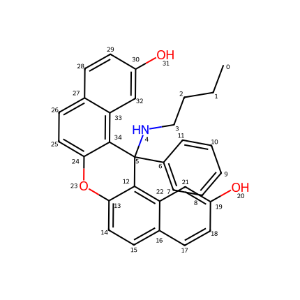 CCCCNC1(c2ccccc2)c2c(ccc3ccc(O)cc23)Oc2ccc3ccc(O)cc3c21